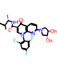 CC(C)[C@@H](C)NC(=O)c1cn(-c2c(F)cc(F)cc2F)c2nc(N3C[C@@H](O)[C@H](O)C3)ccc2c1=O